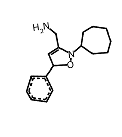 NCC1=CC(c2ccccc2)ON1C1CCCCCC1